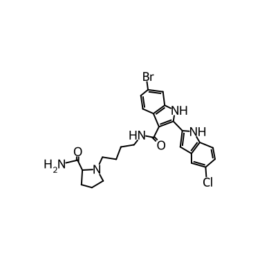 NC(=O)C1CCCN1CCCCNC(=O)c1c(-c2cc3cc(Cl)ccc3[nH]2)[nH]c2cc(Br)ccc12